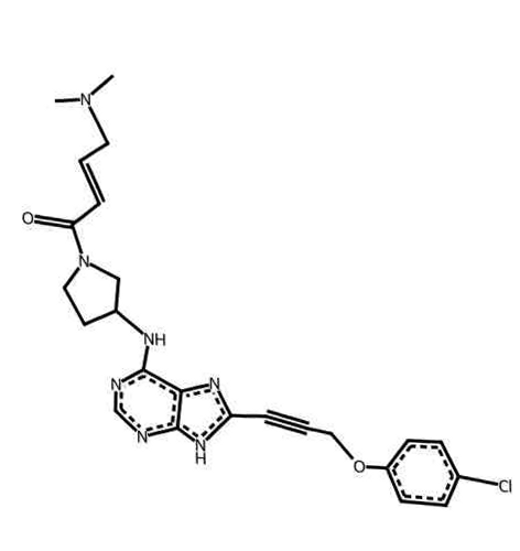 CN(C)C/C=C/C(=O)N1CCC(Nc2ncnc3[nH]c(C#CCOc4ccc(Cl)cc4)nc23)C1